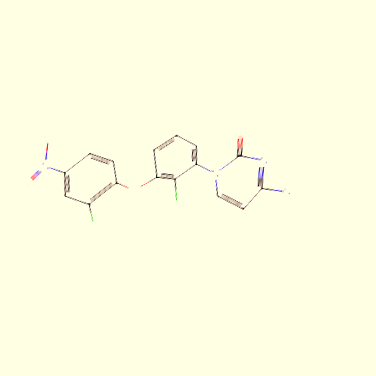 Nc1ccn(-c2cccc(Oc3ccc([N+](=O)[O-])cc3Cl)c2Cl)c(=O)n1